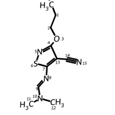 CCCOc1nsc(N=CN(C)C)c1C#N